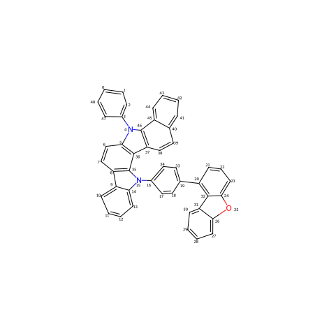 c1ccc(-n2c3ccc4c5ccccc5n(-c5ccc(-c6cccc7oc8ccccc8c67)cc5)c4c3c3ccc4ccccc4c32)cc1